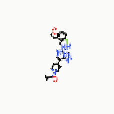 O=C(C1CC1)N1CC=C(c2cnc(NCc3c(F)ccc4c3CCO4)n3cnnc23)CC1